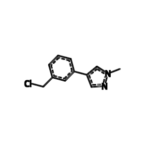 Cn1cc(-c2cccc(CCl)c2)cn1